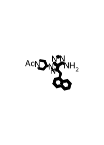 CC(=O)N1CCC(n2nc(Cc3cccc4ccccc34)c3c(N)ncnc32)CC1